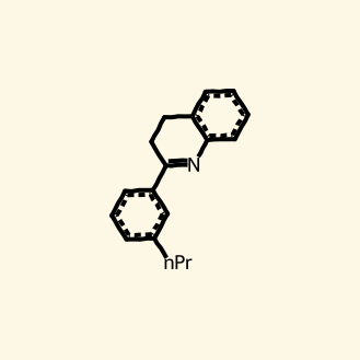 CCCc1cccc(C2=Nc3ccccc3CC2)c1